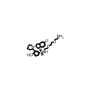 NCCOCCOCCNS(=O)(=O)c1ccc(O)c(C2CCCCN2[C@H]2Cc3ccc(Cl)cc3C2)c1